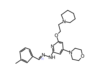 Cc1cccc(/C=N/Nc2cc(N3CCOCC3)cc(OCCN3CCCCC3)n2)c1